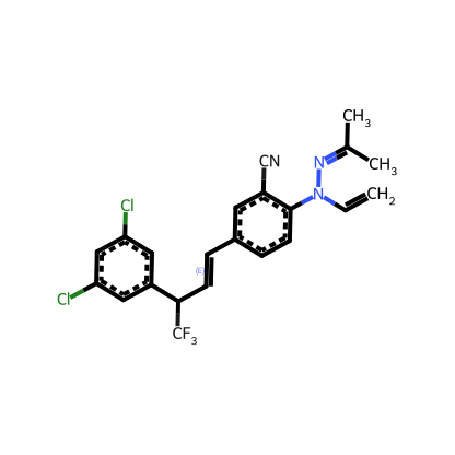 C=CN(N=C(C)C)c1ccc(/C=C/C(c2cc(Cl)cc(Cl)c2)C(F)(F)F)cc1C#N